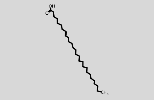 CCCCCCCCCCCCCCCCCCCC=CCCCCCCC(=O)O